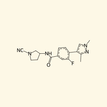 Cc1nn(C)cc1-c1ccc(C(=O)NC2CCN(C#N)C2)cc1F